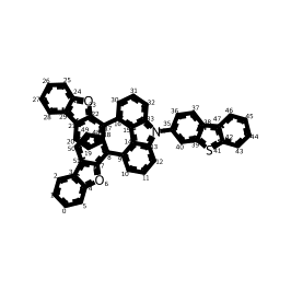 c1ccc2c(c1)oc1c(-c3cccc4c3c3c(-c5cccc6c5oc5ccccc56)cccc3n4-c3ccc4c(c3)sc3ccccc34)cccc12